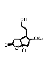 CC(=O)OC1C[C@H]2OC(=O)CC2C1CCO